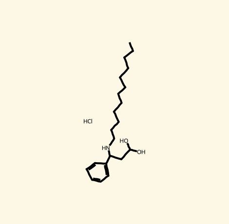 CCCCCCCCCCCCNC(CC(O)O)c1ccccc1.Cl